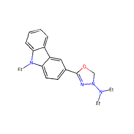 CCN(CC)N1COC(c2ccc3c(c2)c2ccccc2n3CC)=N1